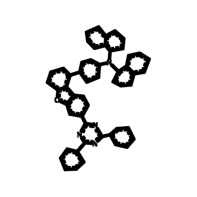 c1ccc(-c2nc(-c3ccccc3)nc(-c3ccc4c(c3)oc3cccc(-c5ccc(N(c6cccc7ccccc67)c6cccc7ccccc67)cc5)c34)n2)cc1